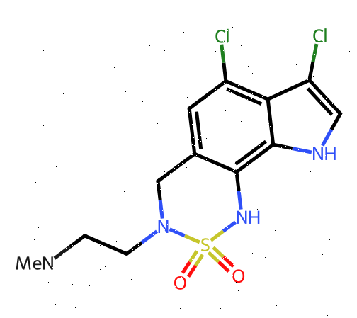 CNCCN1Cc2cc(Cl)c3c(Cl)c[nH]c3c2NS1(=O)=O